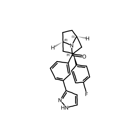 O=C(c1cccc(-c2cc[nH]n2)c1)N1[C@@H]2CC[C@H]1C[C@@H](c1ccc(F)cc1)C2